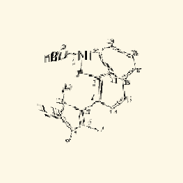 CCCCNCc1c(C2=C(C)C(C)=C(C)C2C)ccc2ccccc12